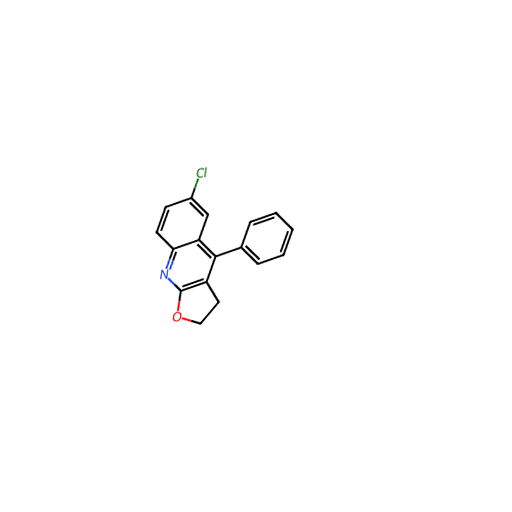 Clc1ccc2nc3c(c(-c4ccccc4)c2c1)CCO3